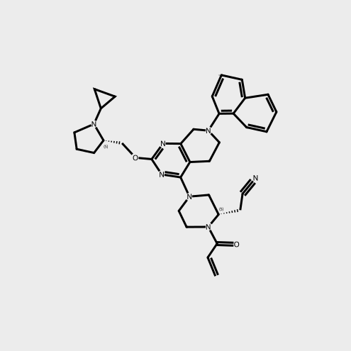 C=CC(=O)N1CCN(c2nc(OC[C@@H]3CCCN3C3CC3)nc3c2CCN(c2c[c]cc4ccccc24)C3)C[C@@H]1CC#N